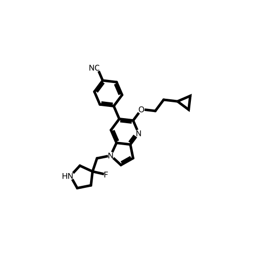 N#Cc1ccc(-c2cc3c(ccn3CC3(F)CCNC3)nc2OCCC2CC2)cc1